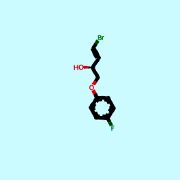 O[C@@H](/C=C/Br)COc1ccc(F)cc1